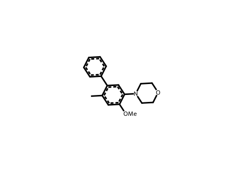 COc1cc(C)c(-c2ccccc2)cc1N1CCOCC1